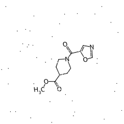 COC(=O)C1CCN(C(=O)c2cnco2)CC1